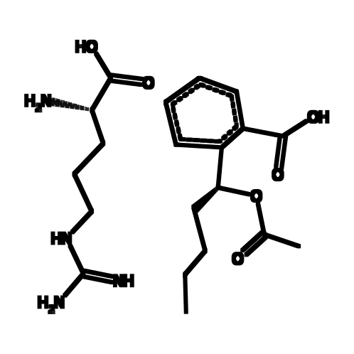 CCCC[C@H](OC(C)=O)c1ccccc1C(=O)O.N=C(N)NCCC[C@H](N)C(=O)O